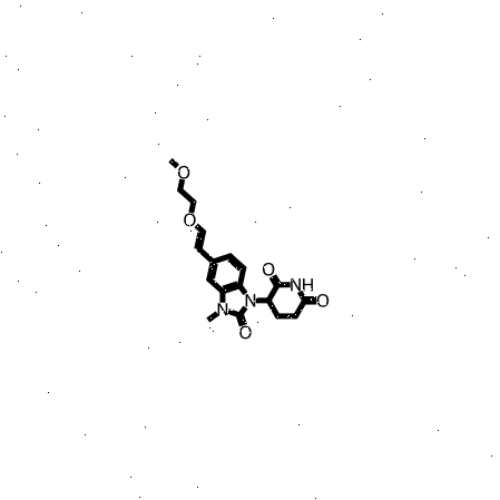 COCCO/C=C/c1ccc2c(c1)n(C)c(=O)n2C1CCC(=O)NC1=O